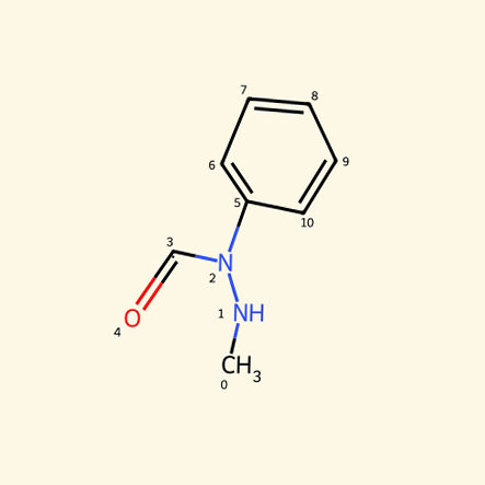 CNN([C]=O)c1ccccc1